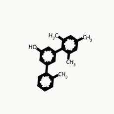 Cc1cc(C)c(-c2cc(O)cc(-c3ccccc3C)c2)c(C)c1